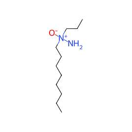 CCCCCCCC[N+](N)([O-])CCC